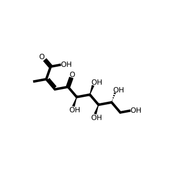 CC(=CC(=O)[C@H](O)[C@@H](O)[C@H](O)[C@H](O)CO)C(=O)O